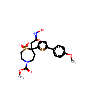 COC(=O)N1CCC(CC(=O)NO)(c2ccc(-c3ccc(OC)cc3)s2)S(=O)(=O)CC1